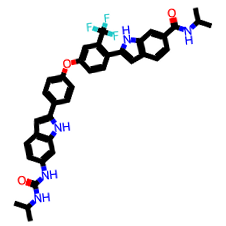 CC(C)NC(=O)Nc1ccc2cc(-c3ccc(Oc4ccc(-c5cc6ccc(C(=O)NC(C)C)cc6[nH]5)c(C(F)(F)F)c4)cc3)[nH]c2c1